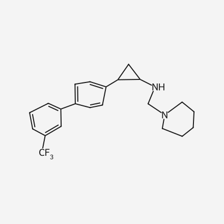 FC(F)(F)c1cccc(-c2ccc(C3CC3NCN3CCCCC3)cc2)c1